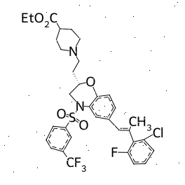 CCOC(=O)C1CCN(CC[C@H]2CN(S(=O)(=O)c3cccc(C(F)(F)F)c3)c3cc(/C=C(\C)c4c(F)cccc4Cl)ccc3O2)CC1